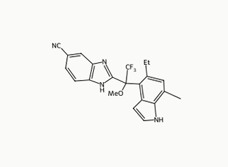 CCc1cc(C)c2[nH]ccc2c1C(OC)(c1nc2cc(C#N)ccc2[nH]1)C(F)(F)F